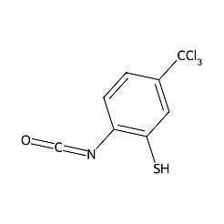 O=C=Nc1ccc(C(Cl)(Cl)Cl)cc1S